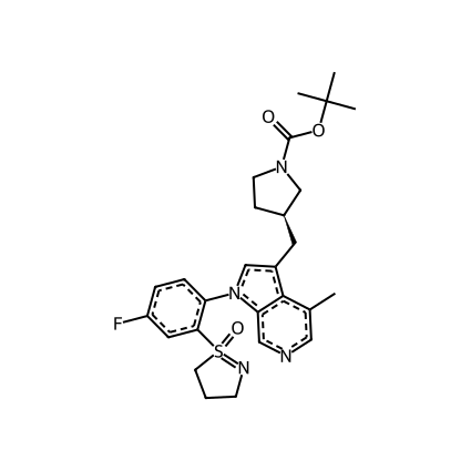 Cc1cncc2c1c(C[C@H]1CCN(C(=O)OC(C)(C)C)C1)cn2-c1ccc(F)cc1S1(=O)=NCCC1